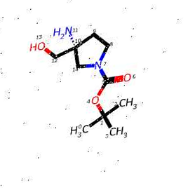 CC(C)(C)OC(=O)N1CC[C@](N)(CO)C1